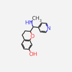 CNC(c1ccncc1)C1CCc2ccc(O)cc2O1